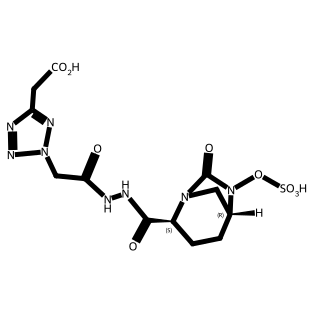 O=C(O)Cc1nnn(CC(=O)NNC(=O)[C@@H]2CC[C@@H]3CN2C(=O)N3OS(=O)(=O)O)n1